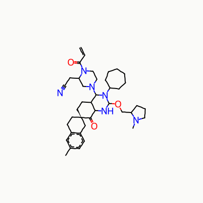 C=CC(=O)N1CCN(C2C3CC[C@@]4(CCc5cc(C)ccc5C4)C(=O)C3NC(OCC3CCCN3C)N2C2CCCCCC2)CC1CC#N